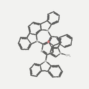 Cn1cnc2cc(-n3c4ccccc4c4ccc5c6ccccc6n(-c6nc(-c7ccccc7)cc(-n7c8ccccc8c8ccccc87)n6)c5c43)ccc21